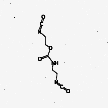 O=C=NCCNC(=O)OCCN=C=O